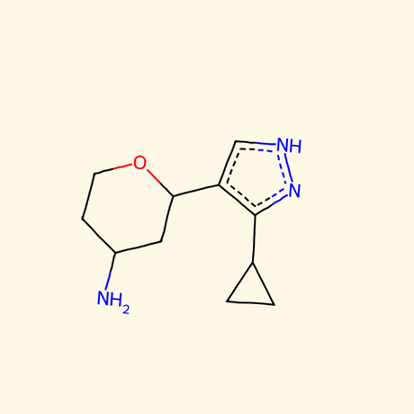 NC1CCOC(c2c[nH]nc2C2CC2)C1